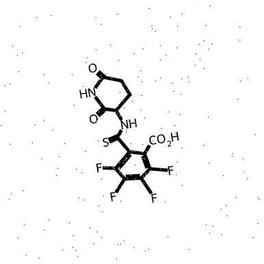 O=C1CCC(NC(=S)c2c(F)c(F)c(F)c(F)c2C(=O)O)C(=O)N1